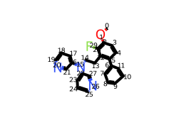 COc1ccc(-c2ccccc2)c(CCN(c2cccnc2)c2cccnc2)c1F